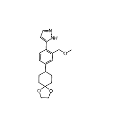 COCc1cc(C2CCC3(CC2)OCCO3)ccc1-c1ccn[nH]1